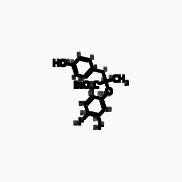 CCOC(=O)C(C)(Cc1ccc(O)cc1)Oc1ccc(F)c(F)c1